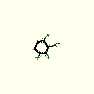 Fc1c(Cl)ccc(Br)c1C(F)(F)F